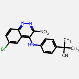 CC(C)(C#N)c1ccc(Nc2c([N+](=O)[O-])nnc3ccc(Br)cc23)cc1